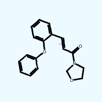 O=C(/C=C/c1ccccc1Oc1ccccc1)N1CCOC1